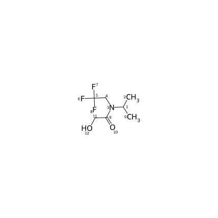 CC(C)N(CC(F)(F)F)C(=O)CO